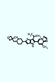 Cc1cc(-c2[nH]c3cc(C4CCN(CC5(C)COC5)CC4)sc3c2C(C)C)cn2ncnc12